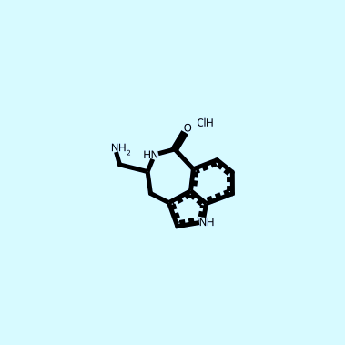 Cl.NCC1Cc2c[nH]c3cccc(c23)C(=O)N1